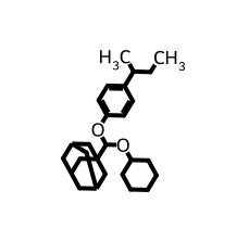 CCC(C)c1ccc(OC(OC2CCCCC2)C23CC4CC(CC(C4)C2)C3)cc1